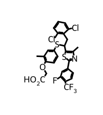 Cc1cc(SC(Cc2c(Cl)cccc2Cl)c2sc(-c3ccc(C(F)(F)F)c(F)c3)nc2C)ccc1OCC(=O)O